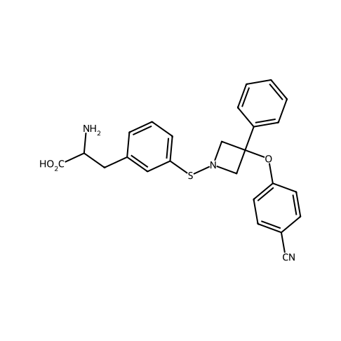 N#Cc1ccc(OC2(c3ccccc3)CN(Sc3cccc(CC(N)C(=O)O)c3)C2)cc1